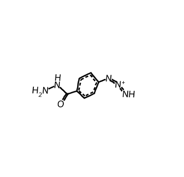 N=[N+]=Nc1ccc(C(=O)NN)cc1